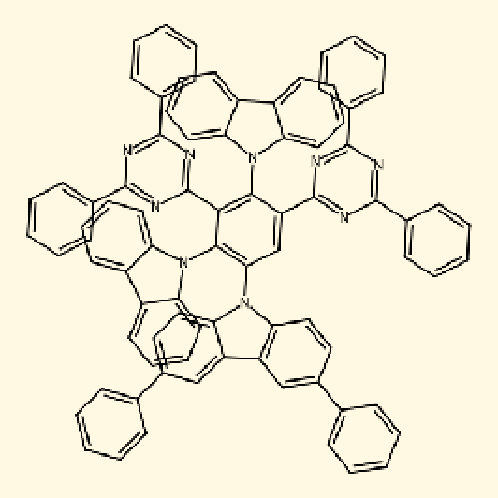 c1ccc(-c2ccc3c(c2)c2cc(-c4ccccc4)ccc2n3-c2cc(-c3nc(-c4ccccc4)nc(-c4ccccc4)n3)c(-n3c4ccccc4c4ccccc43)c(-c3nc(-c4ccccc4)nc(-c4ccccc4)n3)c2-n2c3ccccc3c3ccccc32)cc1